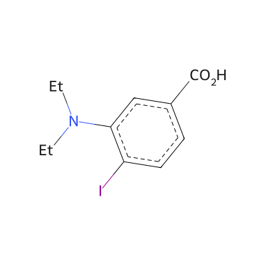 CCN(CC)c1cc(C(=O)O)ccc1I